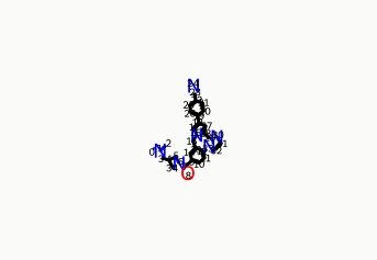 CN(C)CC1CN(C(=O)c2ccc3c(c2)Cn2cc(-c4ccc(C#N)cc4)cc2-c2nccn2-3)C1